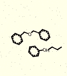 CCCC.Oc1ccccc1.c1ccc(COCc2ccccc2)cc1